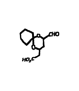 O=CC1CC(CC(=O)O)OC2(CCCCC2)O1